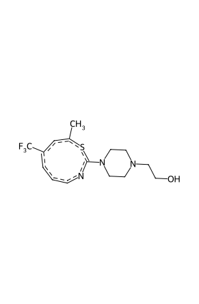 Cc1cc(C(F)(F)F)cccnc(N2CCN(CCO)CC2)s1